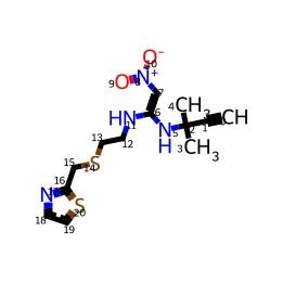 C#CC(C)(C)N/C(=C/[N+](=O)[O-])NCCSCc1nccs1